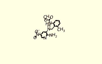 COC(=O)Nc1cccc(C)c1CNc1cc([N+](=O)[O-])cnc1N